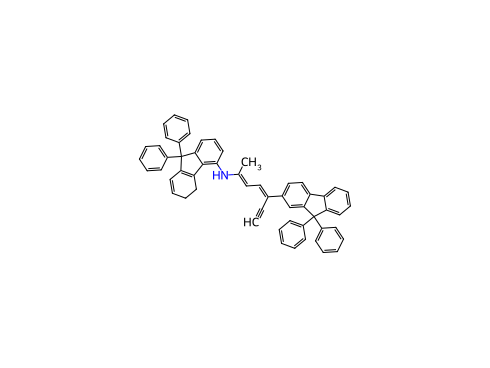 C#C/C(=C\C=C(/C)Nc1cccc2c1C1=C(C=CCC1)C2(c1ccccc1)c1ccccc1)c1ccc2c(c1)C(c1ccccc1)(c1ccccc1)c1ccccc1-2